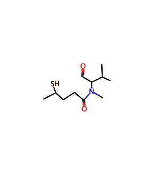 CC(S)CCC(=O)N(C)C(C=O)C(C)C